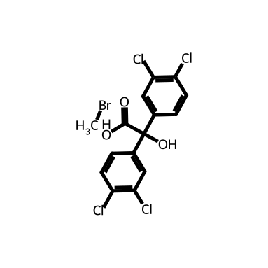 CBr.O=C(O)C(O)(c1ccc(Cl)c(Cl)c1)c1ccc(Cl)c(Cl)c1